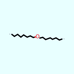 [CH2]CCCCCCCOCCCCCCC[CH2]